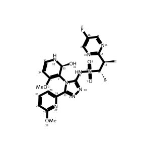 COC1=C(n2c(NS(=O)(=O)[C@@H](C)[C@H](C)c3ncc(F)cn3)nnc2-c2cccc(OC)n2)[C@H](O)NC=C1